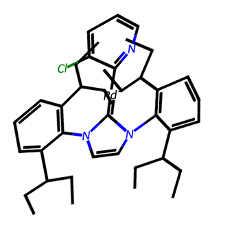 CCC(CC)c1cccc(C(CC)CC)c1-n1ccn(-c2c(C(CC)CC)cccc2C(CC)CC)[c]1=[Pd-][c]1ncccc1Cl